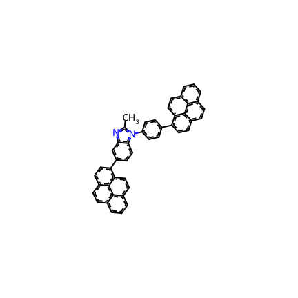 Cc1nc2cc(-c3ccc4ccc5cccc6ccc3c4c56)ccc2n1-c1ccc(-c2ccc3ccc4cccc5ccc2c3c45)cc1